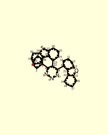 c1ccc(-c2nnnc(-c3cccc4oc5ccccc5c34)c2-c2cccc3sc4ccccc4c23)cc1